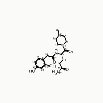 CN1CCN(C(=O)[C@H](CCC(N)=O)NC(=O)Cc2ccc(O)cc2O)CC1